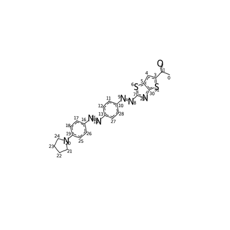 CC(=O)c1cc2sc(N=Nc3ccc(N=Nc4ccc(N5CCCC5)cc4)cc3)nc2s1